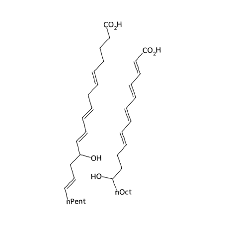 CCCCCC=CCC(O)C=CC=CCC=CCCCC(=O)O.CCCCCCCCC(O)CCC=CC=CC=CC=CC(=O)O